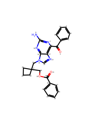 Nc1nc(C(=O)c2ccccc2)c2ncn(CC3(COC(=O)c4ccccc4)CCC3)c2n1